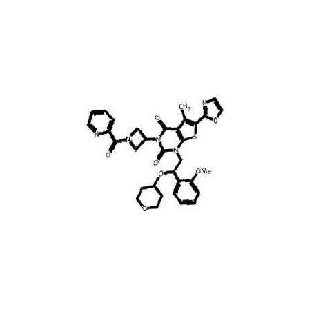 COc1ccccc1C(Cn1c(=O)n(C2CN(C(=O)c3ccccn3)C2)c(=O)c2c(C)c(-c3ncco3)sc21)OC1CCOCC1